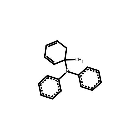 CC1(N(c2ccccc2)c2ccccc2)C=CC=CC1